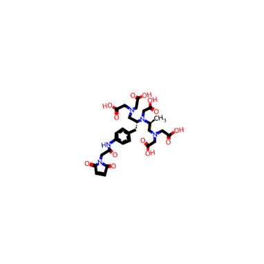 C[C@@H](CN(CC(=O)O)CC(=O)O)N(CC(=O)O)[C@H](Cc1ccc(NC(=O)CN2C(=O)C=CC2=O)cc1)CN(CC(=O)O)CC(=O)O